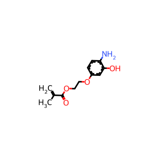 C=C(C)C(=O)OCCOc1ccc(N)c(O)c1